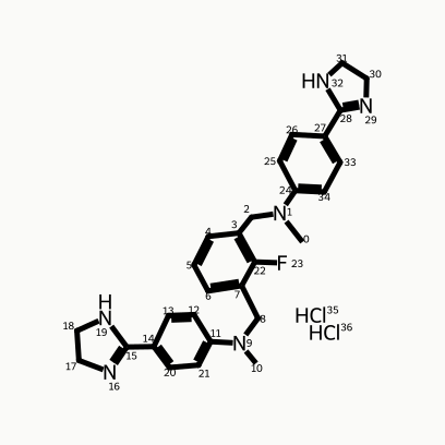 CN(Cc1cccc(CN(C)c2ccc(C3=NCCN3)cc2)c1F)c1ccc(C2=NCCN2)cc1.Cl.Cl